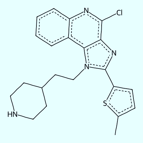 Cc1ccc(-c2nc3c(Cl)nc4ccccc4c3n2CCC2CCNCC2)s1